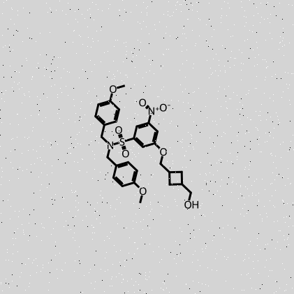 COc1ccc(CN(Cc2ccc(OC)cc2)S(=O)(=O)c2cc(OCC3CC(CO)C3)cc([N+](=O)[O-])c2)cc1